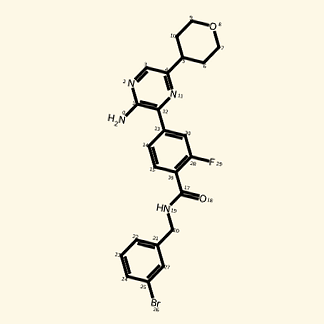 Nc1ncc(C2CCOCC2)nc1-c1ccc(C(=O)NCc2cccc(Br)c2)c(F)c1